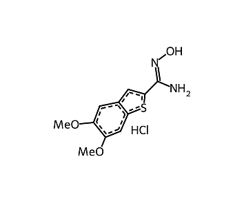 COc1cc2cc(C(N)=NO)sc2cc1OC.Cl